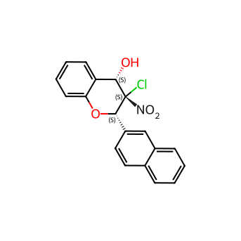 O=[N+]([O-])[C@]1(Cl)[C@@H](O)c2ccccc2O[C@H]1c1ccc2ccccc2c1